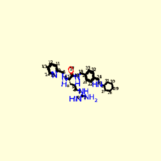 N=C(N)NCCC[C@H](NCc1ccccn1)C(=O)NCc1ccc(CNC2CCCCC2)cc1